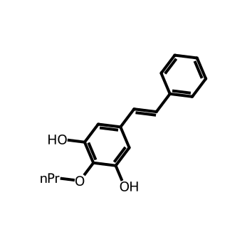 CCCOc1c(O)cc(/C=C/c2ccccc2)cc1O